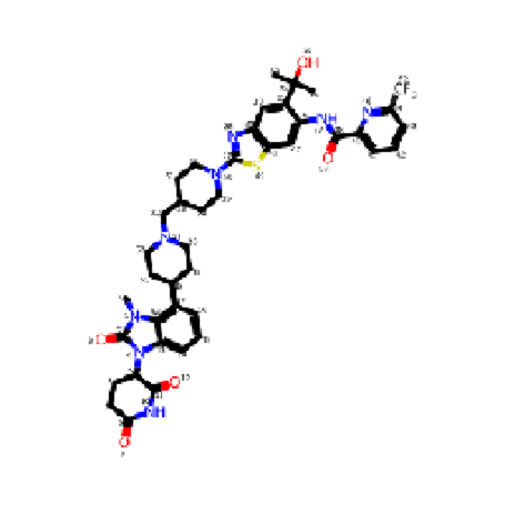 Cn1c(=O)n(C2CCC(=O)NC2=O)c2cccc(C3CCN(CC4CCN(c5nc6cc(C(C)(C)O)c(NC(=O)c7cccc(C(F)(F)F)n7)cc6s5)CC4)CC3)c21